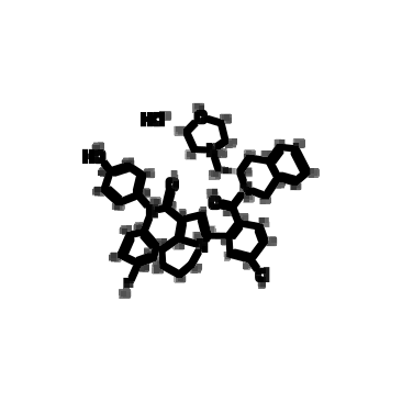 Cl.O=C(c1cc(-c2cc(Cl)ccc2C(=O)N2Cc3ccccc3C[C@H]2CN2CCOCC2)n2c1CCCC2)N(c1ccc(O)cc1)c1ccc(F)cc1